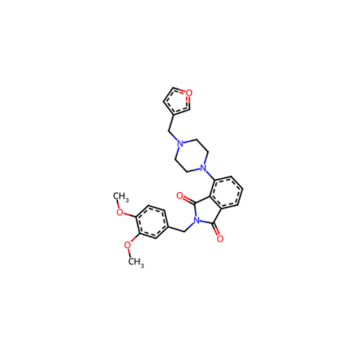 COc1ccc(CN2C(=O)c3cccc(N4CCN(Cc5ccoc5)CC4)c3C2=O)cc1OC